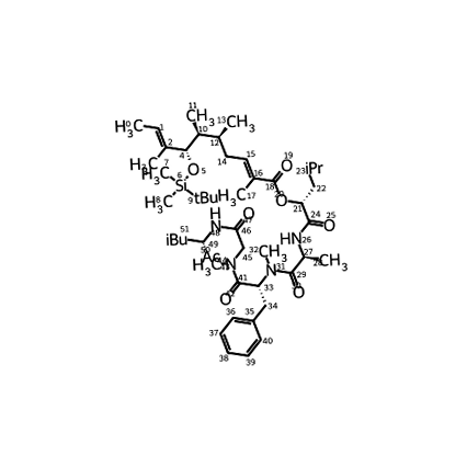 C/C=C(\C)[C@@H](O[Si](C)(C)C(C)(C)C)[C@@H](C)[C@@H](C)C/C=C(\C)C(=O)O[C@H](CC(C)C)C(=O)N[C@@H](C)C(=O)N(C)[C@H](Cc1ccccc1)C(=O)N(C)CC(=O)N[C@H](C(C)=O)C(C)CC